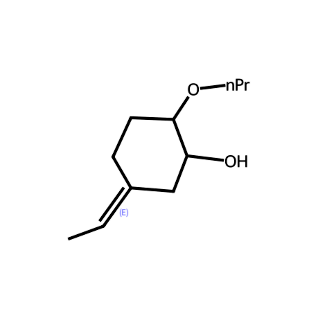 C/C=C1\CCC(OCCC)C(O)C1